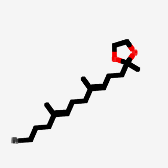 C/C(=C\CCC1(C)OCCO1)CC/C=C(\C)CCCC(C)C